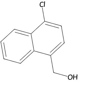 OCc1ccc(Cl)c2ccccc12